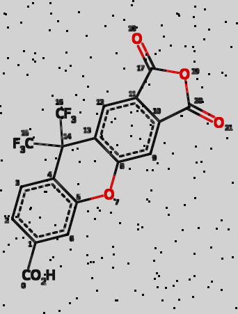 O=C(O)c1ccc2c(c1)Oc1cc3c(cc1C2(C(F)(F)F)C(F)(F)F)C(=O)OC3=O